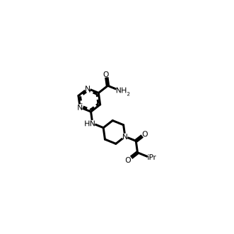 CC(C)C(=O)C(=O)N1CCC(Nc2cc(C(N)=O)ncn2)CC1